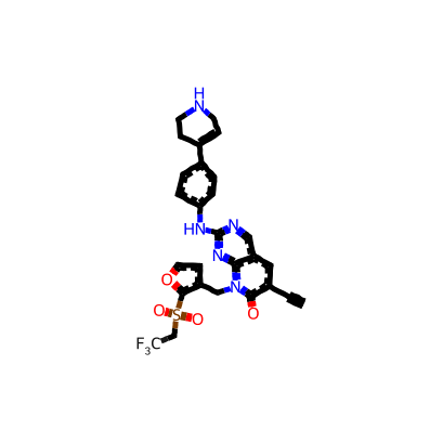 C#Cc1cc2cnc(Nc3ccc(C4=CCNCC4)cc3)nc2n(Cc2ccoc2S(=O)(=O)CC(F)(F)F)c1=O